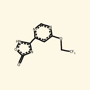 O=c1nc(-c2cc(OCC(F)(F)F)ncn2)[nH]o1